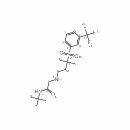 CC(C)(C)NC(=O)CNCCC(C)(C)S(=O)(=O)c1cccc(C(F)(F)F)c1